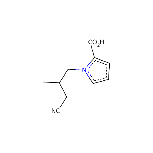 CC(CC#N)Cn1cccc1C(=O)O